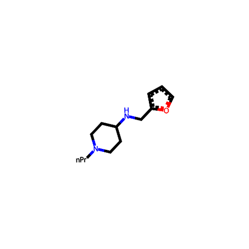 CCCN1CCC(NCc2ccco2)CC1